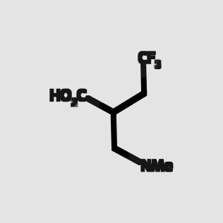 CNCC(CC(F)(F)F)C(=O)O